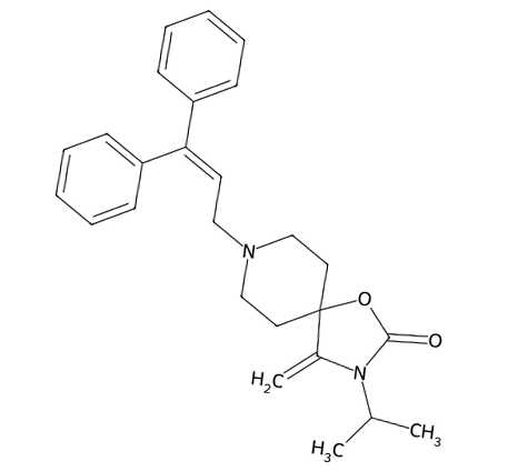 C=C1N(C(C)C)C(=O)OC12CCN(CC=C(c1ccccc1)c1ccccc1)CC2